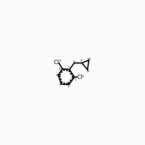 Clc1[c]ccc(Cl)c1CC1CC1